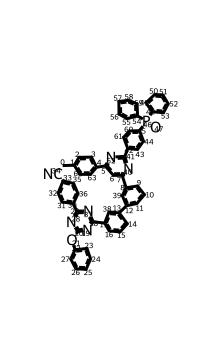 Cc1ccc(-c2cc(-c3cccc(-c4cccc(-c5nc(Oc6ccccc6)nc(-c6ccc(C#N)cc6)n5)c4)c3)nc(-c3ccc(P(=O)(c4ccccc4)c4ccccc4)cc3)n2)cc1